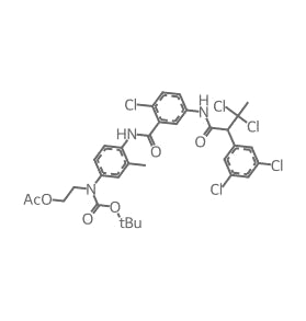 CC(=O)OCCN(C(=O)OC(C)(C)C)c1ccc(NC(=O)c2cc(NC(=O)C(c3cc(Cl)cc(Cl)c3)C(C)(Cl)Cl)ccc2Cl)c(C)c1